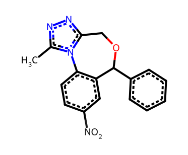 Cc1nnc2n1-c1ccc([N+](=O)[O-])cc1C(c1ccccc1)OC2